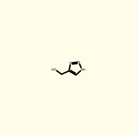 OCc1c[nH]nn1